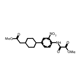 COC(=O)CC1CCC(c2ccc(NC(=O)C(=O)OC)c([N+](=O)[O-])c2)CC1